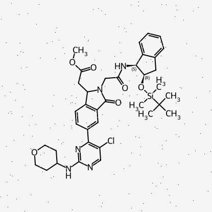 COC(=O)CC1c2ccc(-c3nc(NC4CCOCC4)ncc3Cl)cc2C(=O)N1CC(=O)N[C@H]1c2ccccc2C[C@H]1O[Si](C)(C)C(C)(C)C